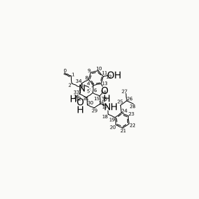 C=CCN1CC[C@]23c4c5ccc(O)c4O[C@H]2[C@@H](NCc2ccccc2CC(C)C)CC[C@@]3(O)[C@H]1C5